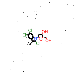 CC(=O)c1c(Cl)n([C@H]2C[C@H](O)[C@@H](CO)O2)c2cc(Cl)c(Cl)cc12